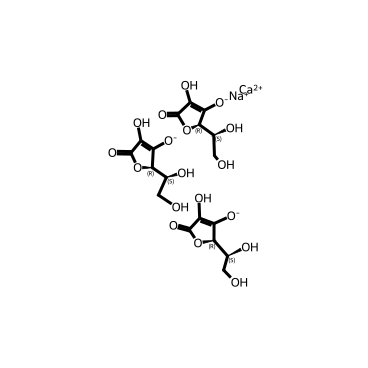 O=C1O[C@H]([C@@H](O)CO)C([O-])=C1O.O=C1O[C@H]([C@@H](O)CO)C([O-])=C1O.O=C1O[C@H]([C@@H](O)CO)C([O-])=C1O.[Ca+2].[Na+]